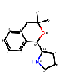 CC1(C)Cc2ccccc2[C@H](C2CCCN2)O1